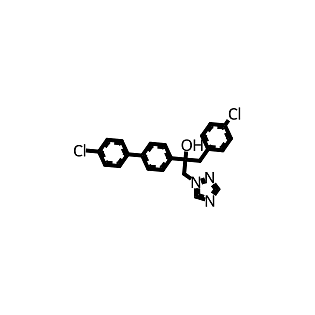 OC(Cc1ccc(Cl)cc1)(Cn1cncn1)c1ccc(-c2ccc(Cl)cc2)cc1